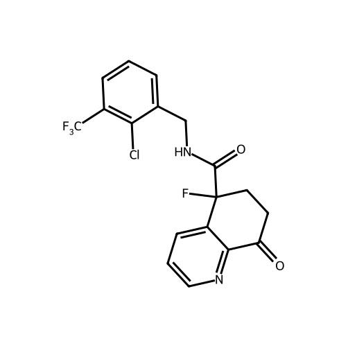 O=C1CCC(F)(C(=O)NCc2cccc(C(F)(F)F)c2Cl)c2cccnc21